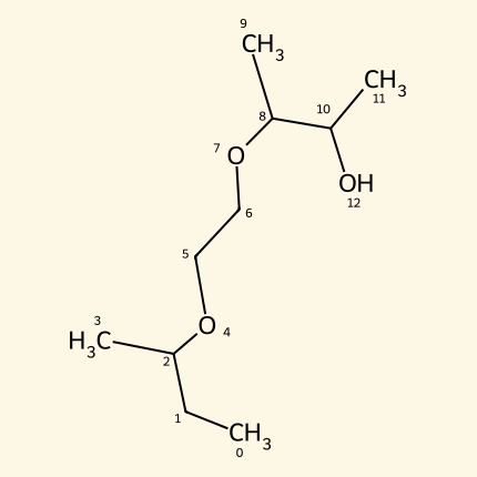 CCC(C)OCCOC(C)C(C)O